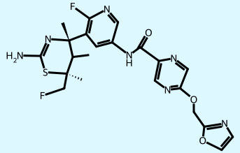 CC1[C@@](C)(CF)SC(N)=N[C@]1(C)c1cc(NC(=O)c2cnc(OCc3ncco3)cn2)cnc1F